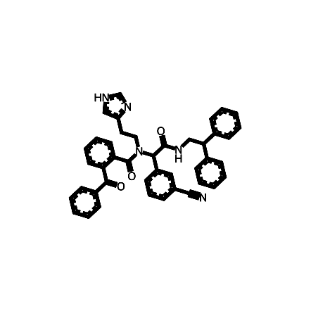 N#Cc1cccc(C(C(=O)NCC(c2ccccc2)c2ccccc2)N(CCc2c[nH]cn2)C(=O)c2ccccc2C(=O)c2ccccc2)c1